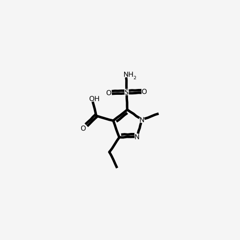 CCc1nn(C)c(S(N)(=O)=O)c1C(=O)O